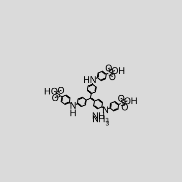 N.N.O=S(=O)(O)c1ccc(N=C2C=CC(=C(c3ccc(Nc4ccc(S(=O)(=O)O)cc4)cc3)c3ccc(Nc4ccc(S(=O)(=O)O)cc4)cc3)C=C2)cc1